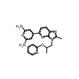 Cc1nc2ccc(-c3cc(N)nc(N)c3)nc2n1CC(C)Oc1ccccn1